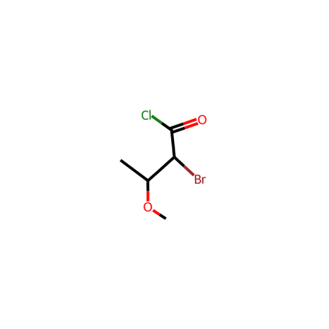 COC(C)C(Br)C(=O)Cl